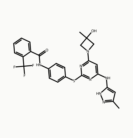 Cc1cc(Nc2cc(N3CC(C)(O)C3)nc(Sc3ccc(NC(=O)c4ccccc4C(F)(F)F)cc3)n2)[nH]n1